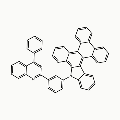 c1ccc(-c2nc(-c3cccc(-n4c5ccccc5c5c6c7ccccc7c7ccccc7c6c6ccccc6c54)c3)nc3ccccc23)cc1